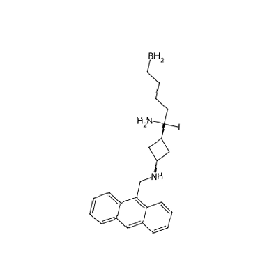 BCCCCC(N)(I)[C@H]1C[C@@H](NCc2c3ccccc3cc3ccccc23)C1